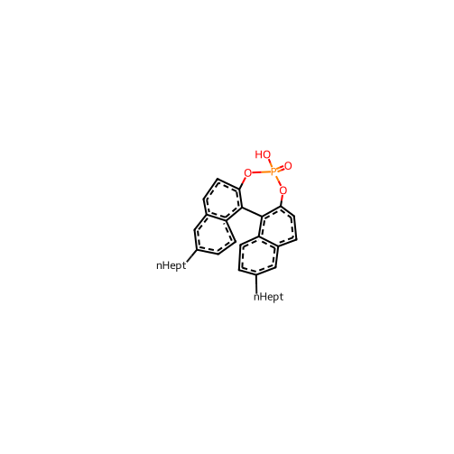 CCCCCCCc1ccc2c3c(ccc2c1)OP(=O)(O)Oc1ccc2cc(CCCCCCC)ccc2c1-3